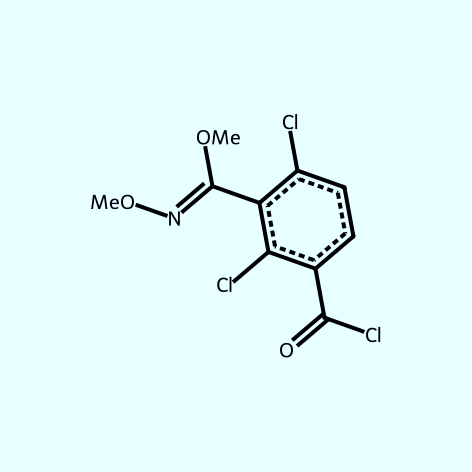 CON=C(OC)c1c(Cl)ccc(C(=O)Cl)c1Cl